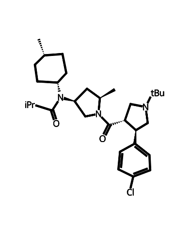 CC(C)C(=O)N([C@H]1C[C@@H](C)N(C(=O)[C@@H]2CN(C(C)(C)C)C[C@H]2c2ccc(Cl)cc2)C1)[C@H]1CC[C@@H](C)CC1